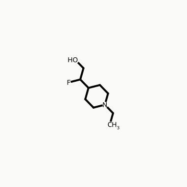 CCN1CCC(C(F)CO)CC1